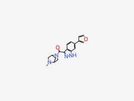 CN1CC2CC1CN2C(=O)c1n[nH]c2cc(-c3ccoc3)ccc12